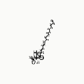 CCCCCCCCCCCCCCCCOC(=O)[C@H](C)NC(C)=O